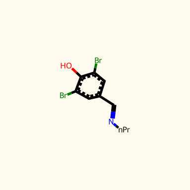 CCCN=Cc1cc(Br)c(O)c(Br)c1